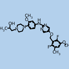 COc1cc(Nc2ncc(OCc3c(F)c(C)cc(OC)c3F)cn2)ccc1N1CCN(CC(C)O)CC1